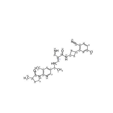 Cc1cc(C(C)N/C=C(\C=N)C(=O)NC2CC(c3cc(Cl)ccc3C#N)C2)cnc1N1CCC(C)C1=O